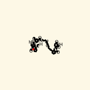 CC[C@H](C)N(c1nc(Nc2ccc(C(=O)NCCCN(C)CCOCCC#Cc3cccc(C=O)c3CN(C)C3CCC(=O)NC3=O)cc2OC)ncc1N(C)C=O)C1CCCC1